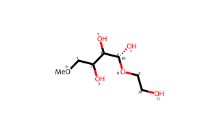 COCC(O)C(O)[C@H](O)OCCO